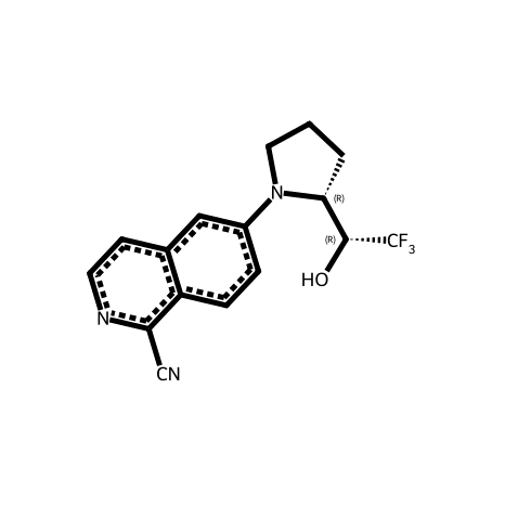 N#Cc1nccc2cc(N3CCC[C@@H]3[C@@H](O)C(F)(F)F)ccc12